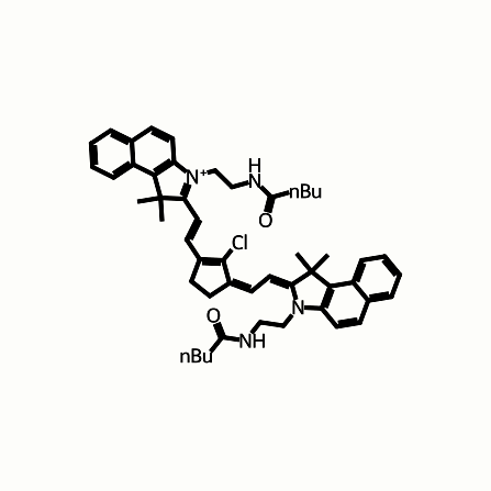 CCCCC(=O)NCCN1C(=C/C=C2/CCC(C=CC3=[N+](CCNC(=O)CCCC)c4ccc5ccccc5c4C3(C)C)=C2Cl)C(C)(C)c2c1ccc1ccccc21